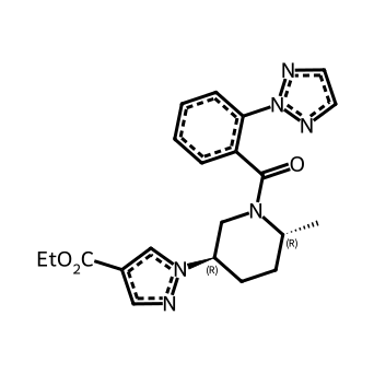 CCOC(=O)c1cnn([C@@H]2CC[C@@H](C)N(C(=O)c3ccccc3-n3nccn3)C2)c1